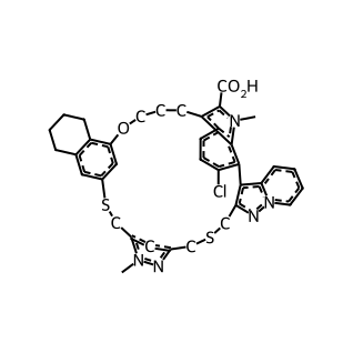 Cn1nc2cc1CSc1cc3c(c(c1)OCCCc1c(C(=O)O)n(C)c4c(c(Cl)ccc14)-c1c(nn4ccccc14)CSC2)CCCC3